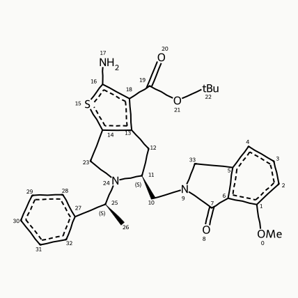 COc1cccc2c1C(=O)N(C[C@@H]1Cc3c(sc(N)c3C(=O)OC(C)(C)C)CN1[C@@H](C)c1ccccc1)C2